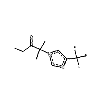 CCC(=O)C(C)(C)n1cnc(C(F)(F)F)c1